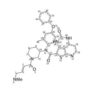 CNCC=CC(=O)N1CCCC(N(C(=O)c2sc3nccc4c3c2NC(=O)N4)c2ccc(Oc3ccccc3)cc2C)C1